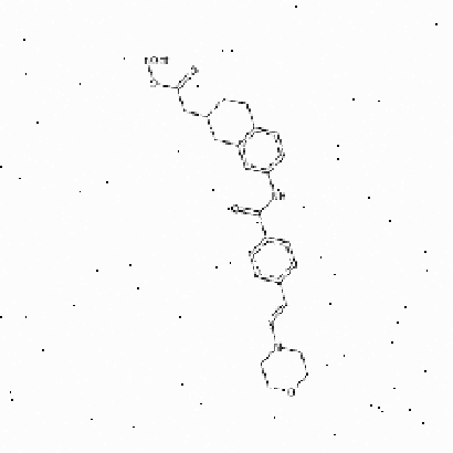 CCCCCCCCOC(=O)CC1CCc2ccc(NC(=O)c3ccc(/C=N/N4CCOCC4)cc3)cc2C1